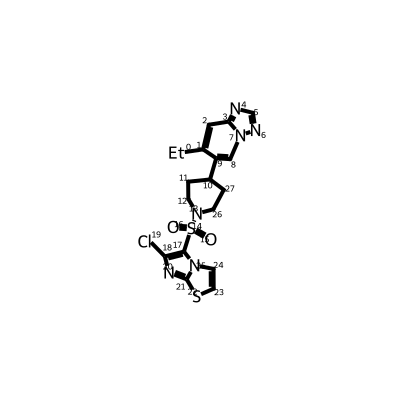 CCc1cc2ncnn2cc1C1CCN(S(=O)(=O)c2c(Cl)nc3sccn23)CC1